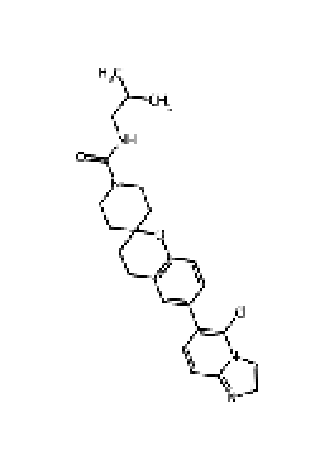 CC(C)CNC(=O)N1CCC2(CCc3cc(-c4ccc5nccn5c4Cl)ccc3O2)CC1